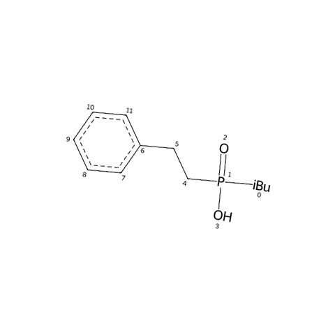 CCC(C)P(=O)(O)CCc1ccccc1